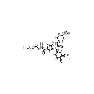 CC(C)(C)C1CCC(N(Cc2ccc(C(=O)NCCC(=O)O)o2)C(=O)Nc2ccc(Cl)c(C(F)(F)F)c2)CC1